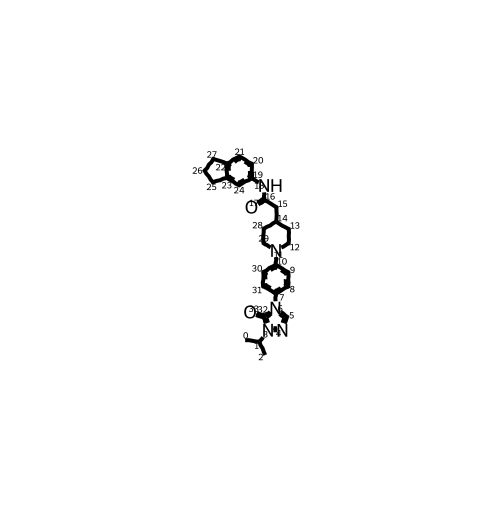 CC(C)n1ncn(-c2ccc(N3CCC(CC(=O)Nc4ccc5c(c4)CCC5)CC3)cc2)c1=O